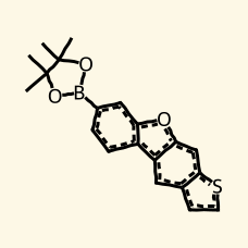 CC1(C)OB(c2ccc3c(c2)oc2cc4sccc4cc23)OC1(C)C